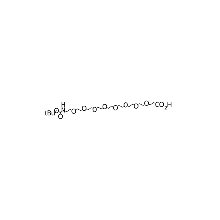 CC(C)(C)OC(=O)NCCOCCOCCOCCOCCOCCOCCOCCOCCC(=O)O